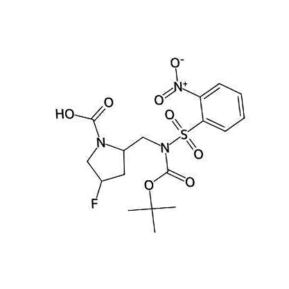 CC(C)(C)OC(=O)N(CC1CC(F)CN1C(=O)O)S(=O)(=O)c1ccccc1[N+](=O)[O-]